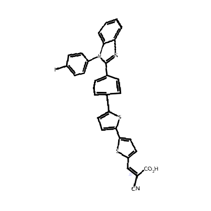 N#C/C(=C/c1ccc(-c2ccc(-c3ccc(-c4nc5ccccc5n4-c4ccc(I)cc4)cc3)s2)s1)C(=O)O